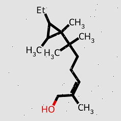 CCC1C(C)C1(C)C(C)(C)CC/C=C(/C)CO